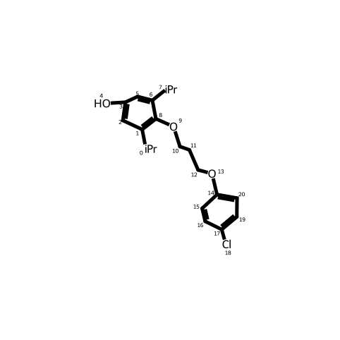 CC(C)c1cc(O)cc(C(C)C)c1OCCCOc1ccc(Cl)cc1